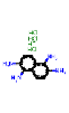 Cl.Cl.Cl.Cl.Nc1ccc2c(N)c(N)ccc2c1N